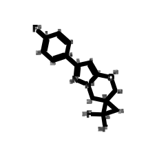 Fc1ccc(-c2cc3n(n2)CC2(CO3)CC2(F)F)cc1